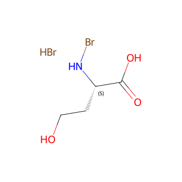 Br.O=C(O)[C@H](CCO)NBr